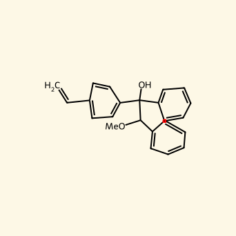 C=Cc1ccc(C(O)(c2ccccc2)C(OC)c2ccccc2)cc1